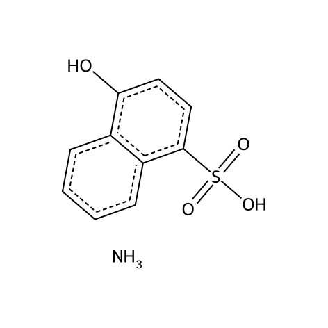 N.O=S(=O)(O)c1ccc(O)c2ccccc12